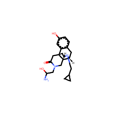 NC(O)CN1C[C@H]2[C@H]3Cc4ccc(O)cc4[C@@]2(CCN3CC2CC2)CC1=O